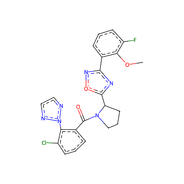 COc1c(F)cccc1-c1noc(C2CCCN2C(=O)c2cccc(Cl)c2-n2nccn2)n1